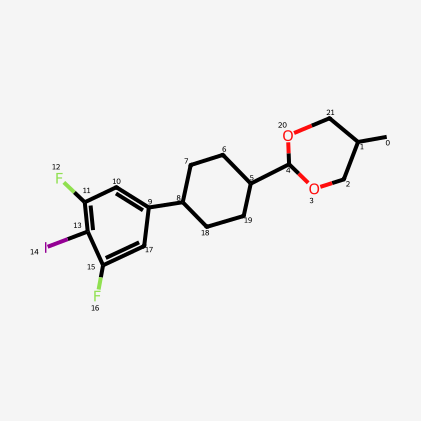 CC1COC(C2CCC(c3cc(F)c(I)c(F)c3)CC2)OC1